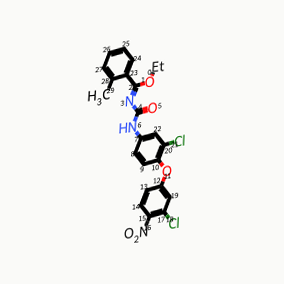 CCO/C(=N\C(=O)Nc1ccc(Oc2ccc([N+](=O)[O-])c(Cl)c2)c(Cl)c1)c1ccccc1C